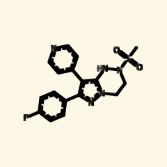 CS(=O)(=O)N1CCn2nc(-c3ccc(F)cc3)c(-c3ccncc3)c2N1